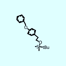 CC(C)(C)[Si](C)(C)OCCc1ccc(OCc2ccccc2)cc1